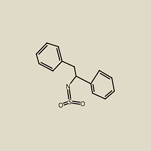 O=S(=O)=NC(Cc1ccccc1)c1ccccc1